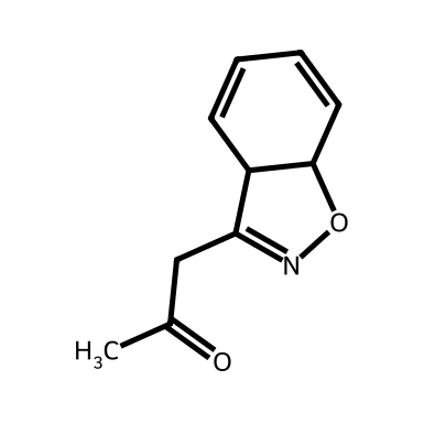 CC(=O)CC1=NOC2C=CC=CC12